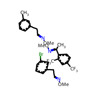 CON=C(C)c1ccc(C(F)(F)F)cc1C(F)(F)F.CON=CCc1cccc(Br)c1.CON=CCc1cccc(C)c1